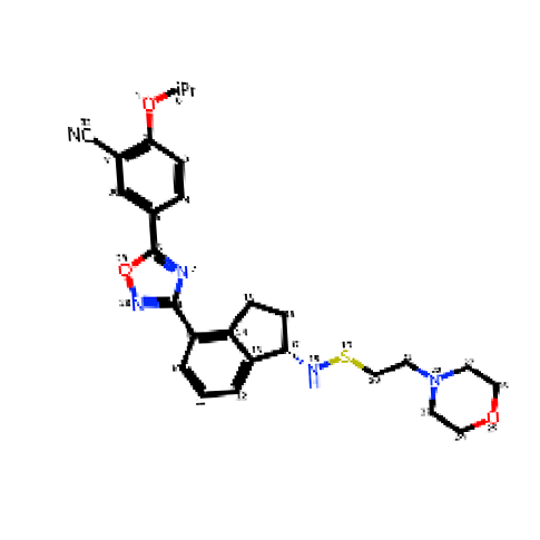 CC(C)Oc1ccc(-c2nc(-c3cccc4c3CC[C@@H]4NSCCN3CCOCC3)no2)cc1C#N